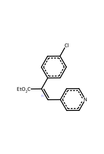 CCOC(=O)/C(=C/c1ccncc1)c1ccc(Cl)cc1